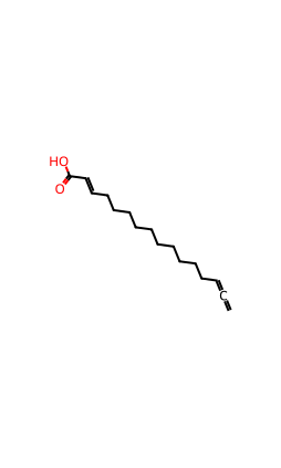 C=C=CCCCCCCCCCCC=CC(=O)O